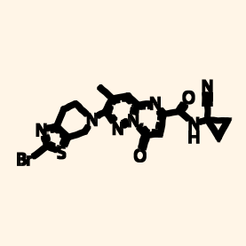 Cc1cc2nc(C(=O)NC3(C#N)CC3)cc(=O)n2nc1N1CCc2nc(Br)sc2C1